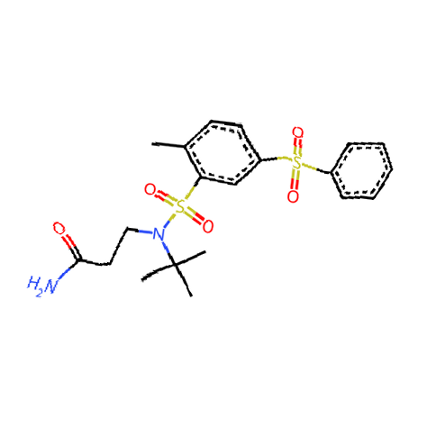 Cc1ccc(S(=O)(=O)c2ccccc2)cc1S(=O)(=O)N(CCC(N)=O)C(C)(C)C